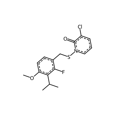 COc1ccc(CSn2cccc(Cl)c2=O)c(F)c1C(C)C